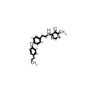 CCCc1ccc(Oc2ccc(CCNc3ncnc(C)c3Cl)cc2)cc1